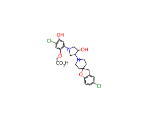 O=C(O)COc1cc(Cl)c(O)cc1N1CC(O)C(N2CCC3(CC2)Cc2cc(Cl)ccc2O3)C1